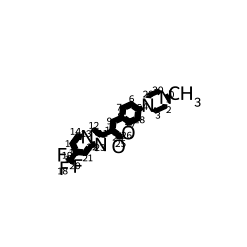 CN1CCN(c2ccc3cc(-c4cn5ccc(C(F)(F)F)cc5n4)c(=O)oc3c2)CC1